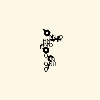 COCC(=O)Nc1cc(Oc2ccc(NC(=O)Nc3cc(C4(C)COC4)nn3-c3ccc(C)cc3)c(F)c2)ccn1